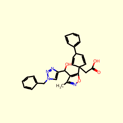 Cc1noc(C2(CC(=O)O)C=CC(c3ccccc3)C=C2)c1C(O)c1cn(Cc2ccccc2)nn1